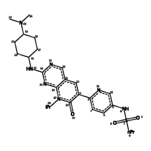 CCCS(=O)(=O)Nc1ccc(-c2cc3cnc(NC4CCC(N(C)C)CC4)nc3n(C(C)C)c2=O)nc1